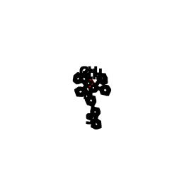 CC1(C)c2ccccc2-c2c(-c3ccccc3N(c3ccc(-c4ccc5c(c4)sc4ccccc45)cc3)c3ccc(-c4ccccc4)c(-c4ccccc4)c3)cccc21